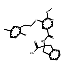 COc1ncc(C(=O)NC2(C(=O)O)Cc3ccccc3C2)cc1OCCc1cc(C)ccc1F